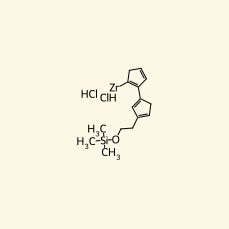 C[Si](C)(C)OCCC1=CCC(C2=[C]([Zr])CC=C2)=C1.Cl.Cl